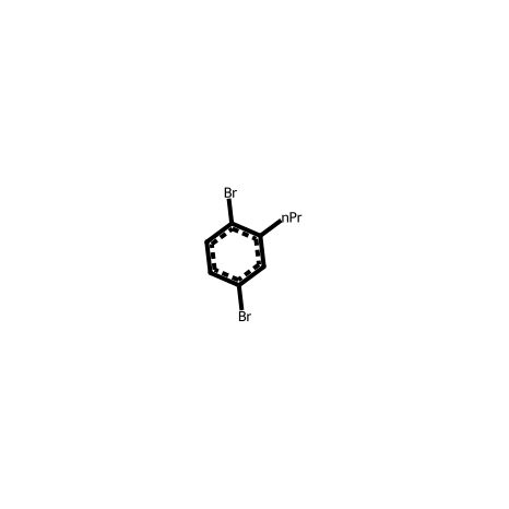 CCCc1cc(Br)ccc1Br